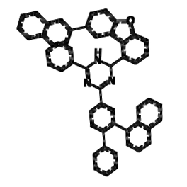 c1ccc(C2=NC(c3ccc(-c4ccccc4)c(-c4cccc5ccccc45)c3)=NC(c3cccc4oc5ccc(-c6ccc7ccccc7c6)cc5c34)N2)cc1